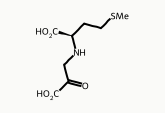 CSCC[C@@H](NCC(=O)C(=O)O)C(=O)O